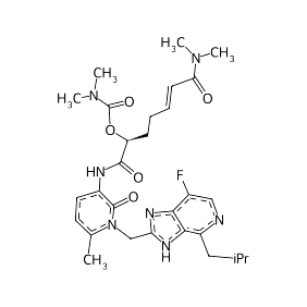 Cc1ccc(NC(=O)[C@H](CC/C=C/C(=O)N(C)C)OC(=O)N(C)C)c(=O)n1Cc1nc2c(F)cnc(CC(C)C)c2[nH]1